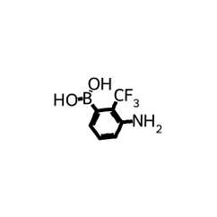 Nc1cccc(B(O)O)c1C(F)(F)F